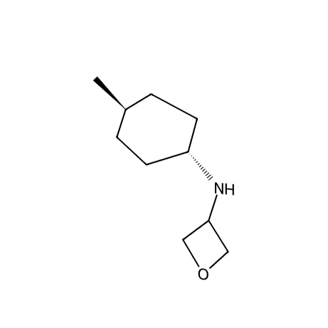 C[C@H]1CC[C@H](NC2COC2)CC1